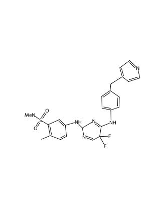 CNS(=O)(=O)c1cc(NC2N=CC(F)(F)C(Nc3ccc(Cc4ccncc4)cc3)=N2)ccc1C